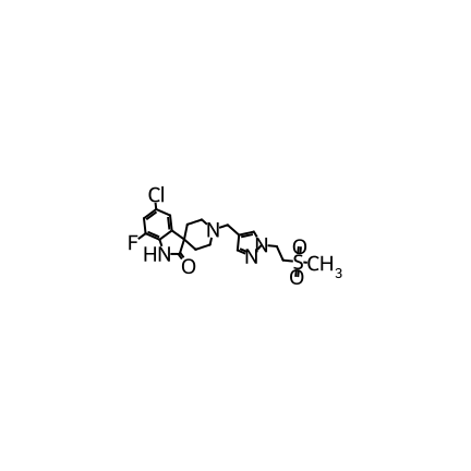 CS(=O)(=O)CCn1cc(CN2CCC3(CC2)C(=O)Nc2c(F)cc(Cl)cc23)cn1